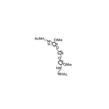 COc1nc(OCc2cnc(COc3ccc(CNCCNC(C)=O)c(OC)n3)s2)ccc1CNCCNC(C)=O